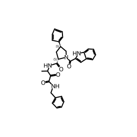 CC(NC(=O)[C@@H]1C[C@@H](c2ccccc2)CN1C(=O)c1cc2ccccc2[nH]1)C(=O)C(=O)NCc1ccccc1